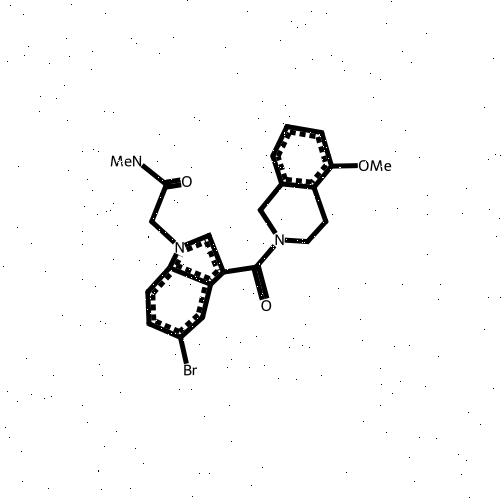 CNC(=O)Cn1cc(C(=O)N2CCc3c(cccc3OC)C2)c2cc(Br)ccc21